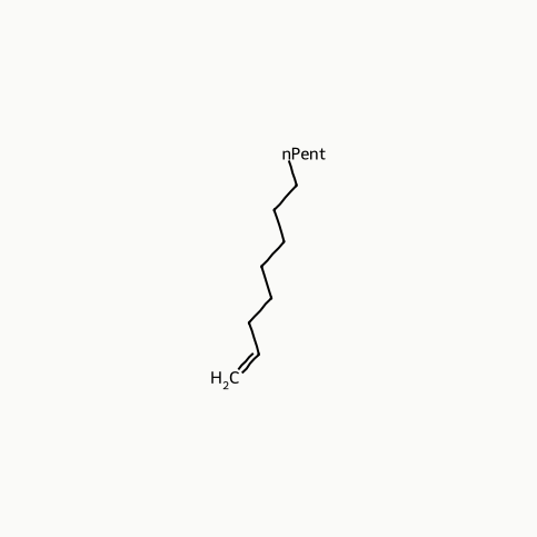 [CH2]CCCCCCCCCCC=C